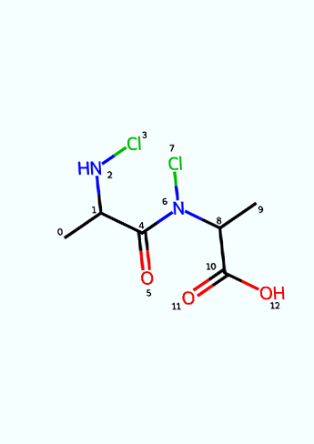 CC(NCl)C(=O)N(Cl)C(C)C(=O)O